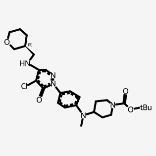 CN(c1ccc(-n2ncc(NC[C@@H]3CCCOC3)c(Cl)c2=O)cc1)C1CCN(C(=O)OC(C)(C)C)CC1